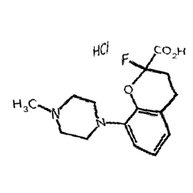 CN1CCN(c2cccc3c2OC(F)(C(=O)O)CC3)CC1.Cl